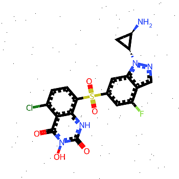 N[C@@H]1C[C@H]1n1ncc2c(F)cc(S(=O)(=O)c3ccc(Cl)c4c(=O)n(O)c(=O)[nH]c34)cc21